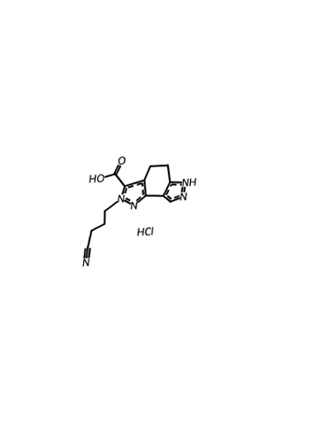 Cl.N#CCCCn1nc2c(c1C(=O)O)CCc1[nH]ncc1-2